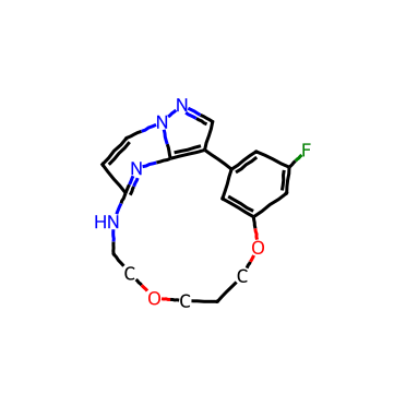 Fc1cc2cc(c1)-c1cnn3ccc(nc13)NCCOCCCO2